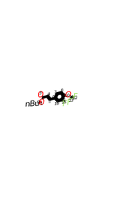 CCCCOC(=O)C=Cc1ccc(OC(F)F)c(F)c1